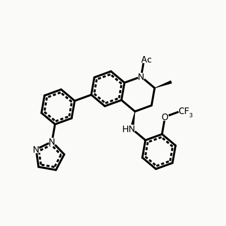 CC(=O)N1c2ccc(-c3cccc(-n4cccn4)c3)cc2[C@H](Nc2ccccc2OC(F)(F)F)C[C@@H]1C